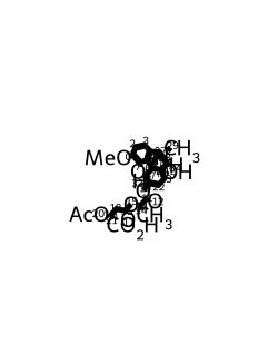 COc1ccc2c3c1O[C@H]1C(OC(=O)[C@H](C)OC(=O)C[C@H](OC(C)=O)C(=O)O)=CC[C@@]4(O)[C@@H](C2)N(C)CC[C@]314